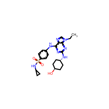 CCn1cnc2c(Nc3ccc(S(=O)(=O)NC4CC4)cc3)nc(N[C@H]3CC[C@H](O)CC3)nc21